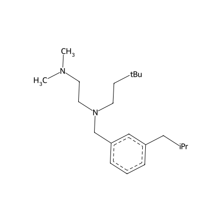 CC(C)Cc1cccc(CN(CCN(C)C)CCC(C)(C)C)c1